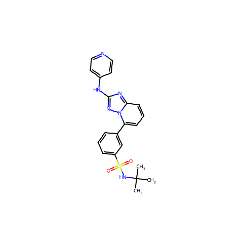 CC(C)(C)NS(=O)(=O)c1cccc(-c2cccc3nc(Nc4ccncc4)nn23)c1